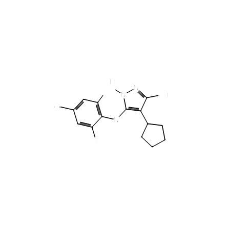 Cc1nn(C)c(Nc2c(F)cc(Cl)cc2F)c1C1CCCC1